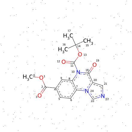 COC(=O)c1ccc2c(c1)n(C(=O)OC(C)(C)C)c(=O)c1cncn12